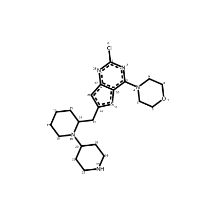 Clc1nc(N2CCOCC2)c2sc(CC3CCCCN3C3CCNCC3)cc2n1